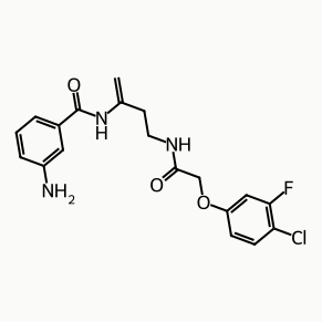 C=C(CCNC(=O)COc1ccc(Cl)c(F)c1)NC(=O)c1cccc(N)c1